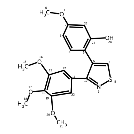 COc1ccc(-c2csnc2-c2cc(OC)c(OC)c(OC)c2)c(O)c1